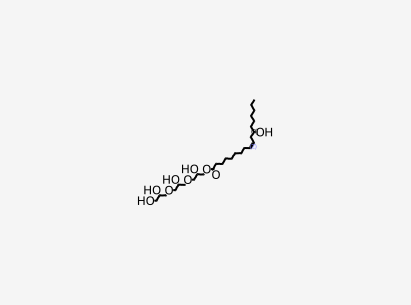 CCCCCC[C@@H](O)C/C=C\CCCCCCCC(=O)OCC(O)COCC(O)COCC(O)CO